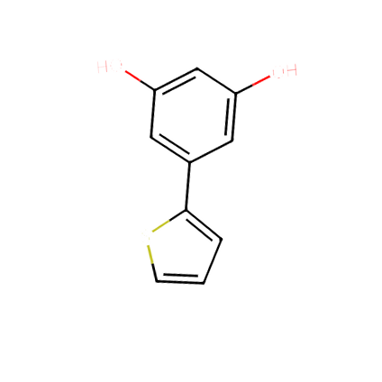 Oc1cc(O)cc(-c2cccs2)c1